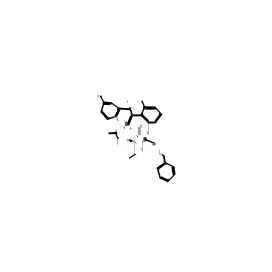 CCn1c(COCc2ccccc2)nn(-c2c(-c3ccccc3C)c(=O)c3cc(F)ccc3n2C(C)C)c1=O